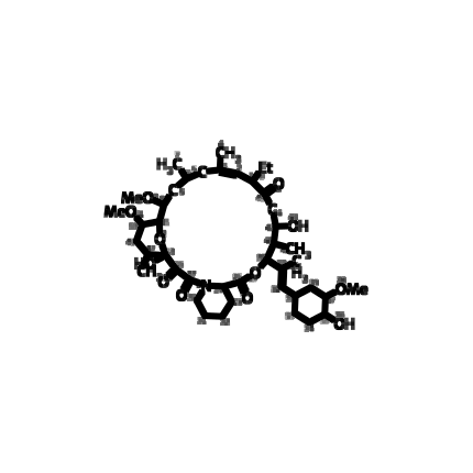 CCC1/C=C(/C)CC(C)CC(OC)C2OC(O)(C(=O)C(=O)N3CCCCC3C(=O)OC(/C(C)=C/C3CCC(O)C(OC)C3)C(C)C(O)CC1=O)C(C)CC2OC